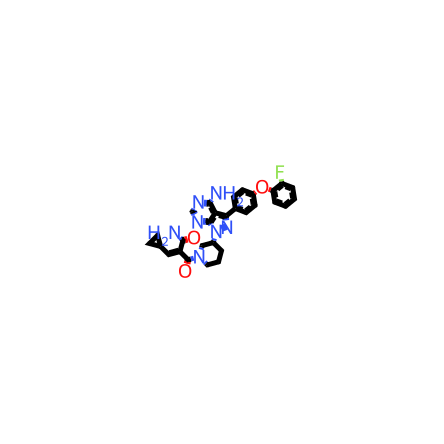 NC(=O)C(=CC1CC1)C(=O)N1CCCC(n2nc(-c3ccc(Oc4ccccc4F)cc3)c3c(N)ncnc32)C1